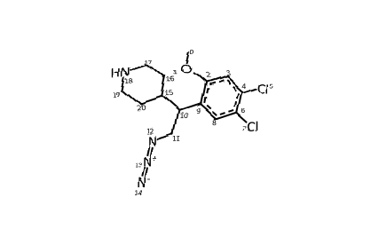 COc1cc(Cl)c(Cl)cc1C(CN=[N+]=[N-])C1CCNCC1